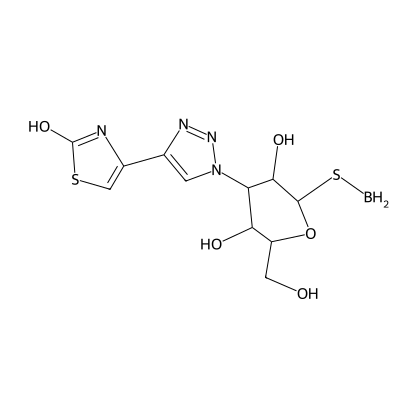 BSC1OC(CO)C(O)C(n2cc(-c3csc(O)n3)nn2)C1O